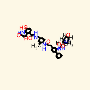 Cc1cc(CNC[C@H](O)c2ccc(O)c3[nH]c(=O)ccc23)ccc1NC(=O)CCc1ccc(-c2ccccc2)c(NC(=O)OC2C[C@@H]3[C@H]4O[C@H]4[C@H](C2)[N+]3(C)C)c1